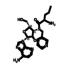 CCCC(N)C(=O)N(Cc1cccnc1)[C@@H]1C(O)[C@H](n2cnc3c(N)ccnc32)O[C@@H]1CO